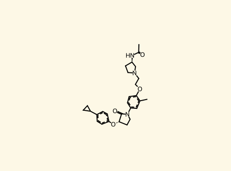 CC(=O)N[C@@H]1CCN(CCOc2ccc(N3CC[C@H](Oc4ccc(C5CC5)cc4)C3=O)cc2C)C1